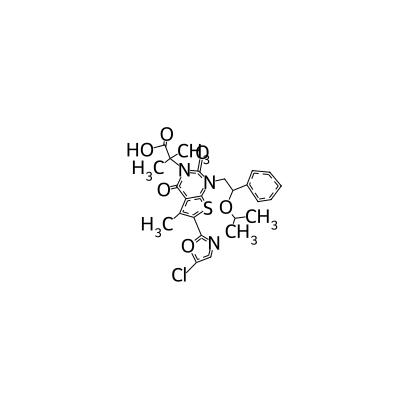 Cc1c(-c2ncc(Cl)o2)sc2c1c(=O)n(C(C)(C)C(=O)O)c(=O)n2CC(OC(C)C)c1ccccc1